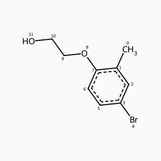 Cc1cc(Br)ccc1OCCO